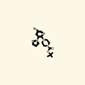 CC(C)(C)OC(=O)N1CCN(c2ncc(Br)cc2-n2cccn2)CC1